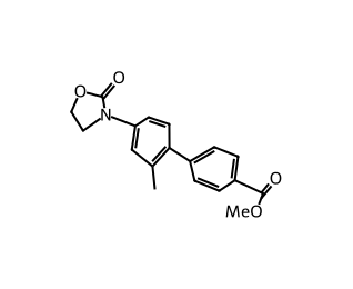 COC(=O)c1ccc(-c2ccc(N3CCOC3=O)cc2C)cc1